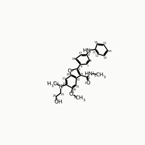 CNC(=O)c1c(-c2ccc(Nc3ccccc3)cc2)oc2cc(N(C)CCO)c(OC)cc12